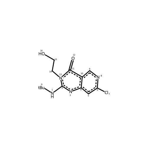 CC(C)(C)Nc1nc2cc(Cl)ncc2c(=O)n1CCO